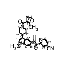 Cc1ocnc1C(=O)N1CCC(c2cn(C)c3ccc(NC(=O)c4cc(C#N)ccn4)cc23)CC1